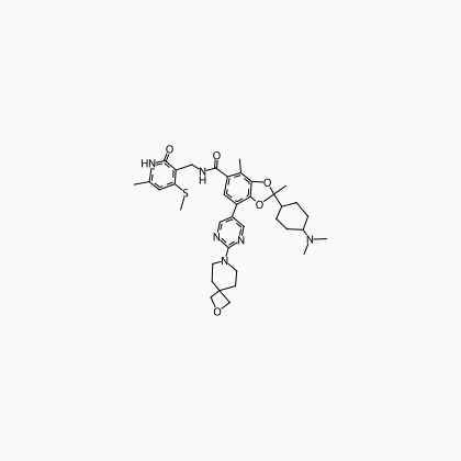 CSc1cc(C)[nH]c(=O)c1CNC(=O)c1cc(-c2cnc(N3CCC4(CC3)COC4)nc2)c2c(c1C)OC(C)(C1CCC(N(C)C)CC1)O2